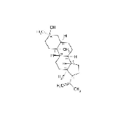 C=C(C)[C@H]1CC[C@H]2[C@@H]3CC[C@@H]4C[C@](C)(O)CC[C@]4(C)[C@H]3CC[C@]12C